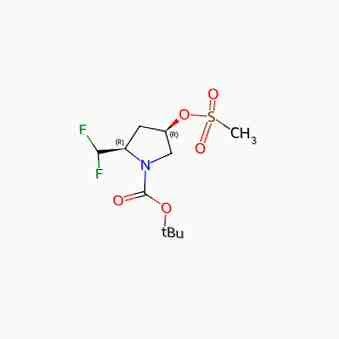 CC(C)(C)OC(=O)N1C[C@H](OS(C)(=O)=O)C[C@@H]1C(F)F